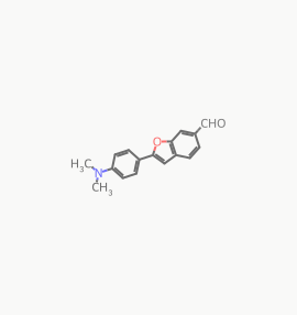 CN(C)c1ccc(-c2cc3ccc(C=O)cc3o2)cc1